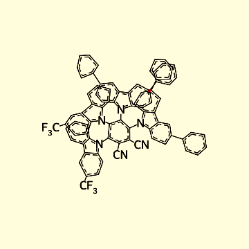 N#Cc1c(C#N)c(-n2c3ccccc3c3cc(C(F)(F)F)ccc32)c(-n2c3ccccc3c3cc(C(F)(F)F)ccc32)c(-n2c3ccc(-c4ccccc4)cc3c3cc(-c4ccccc4)ccc32)c1-n1c2ccc(-c3ccccc3)cc2c2cc(-c3ccccc3)ccc21